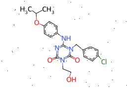 CC(C)Oc1ccc(Nc2nc(=O)n(CCO)c(=O)n2Cc2ccc(Cl)cc2)cc1